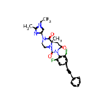 Cc1nc(N2CCN3C(=O)N(c4c(F)cc(C#Cc5ccccc5)cc4F)C(=O)CC3(C)C2=O)cn1CC(F)(F)F